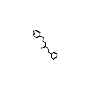 O=C(CCCc1ccnnc1)OCc1ccccc1